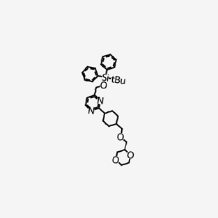 CC(C)(C)[Si](OCc1ccnc(C2CCC(COC[C@@H]3COCCO3)CC2)n1)(c1ccccc1)c1ccccc1